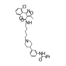 Cc1onc(-c2c(Cl)cccc2Cl)c1C(=O)NCCCCCN1CCC(c2cccc(NC(=O)C(C)C)c2)CC1